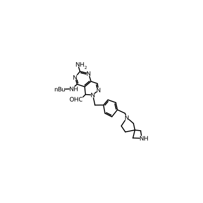 CCCCNc1nc(N)nc2c1C(C=O)N(Cc1ccc(CN3CCC4(CNC4)C3)cc1)N=C2